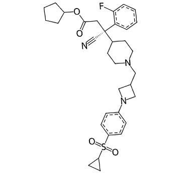 N#C[C@](CC(=O)OC1CCCC1)(c1ccccc1F)C1CCN(CC2CN(c3ccc(S(=O)(=O)C4CC4)cc3)C2)CC1